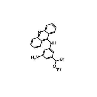 CCOC(Br)c1cc(N)cc(Nc2c3ccccc3nc3ccccc23)c1